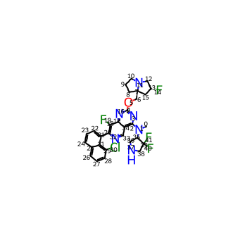 CN(c1nc(OC[C@@]23CCCN2C[C@H](F)C3)nc2c(F)c(-c3cccc4cccc(Cl)c34)ncc12)[C@@H]1CNCC1(F)F